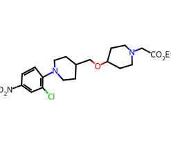 CCOC(=O)CN1CCC(OCC2CCN(c3ccc([N+](=O)[O-])cc3Cl)CC2)CC1